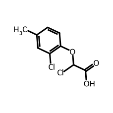 Cc1ccc(OC(Cl)C(=O)O)c(Cl)c1